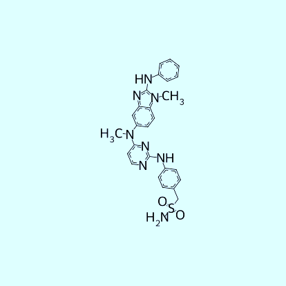 CN(c1ccc2c(c1)nc(Nc1ccccc1)n2C)c1ccnc(Nc2ccc(CS(N)(=O)=O)cc2)n1